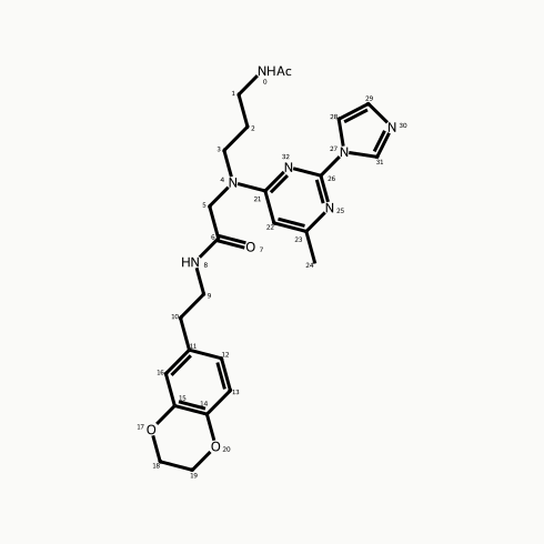 CC(=O)NCCCN(CC(=O)NCCc1ccc2c(c1)OCCO2)c1cc(C)nc(-n2ccnc2)n1